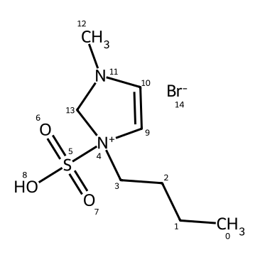 CCCC[N+]1(S(=O)(=O)O)C=CN(C)C1.[Br-]